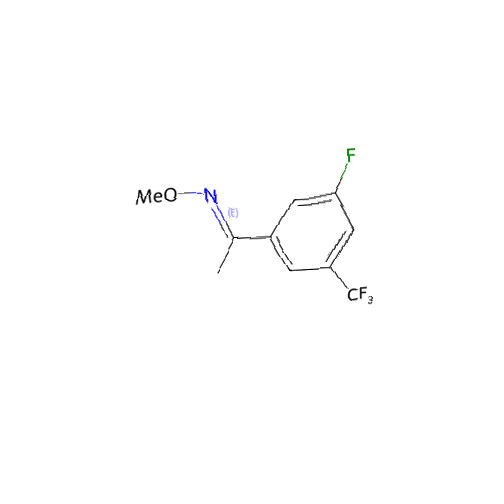 CO/N=C(\C)c1cc(F)cc(C(F)(F)F)c1